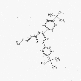 CC(C)(C)c1ccc(-c2cc(/C=C/CO)cc(-c3ccc(C(C)(C)C)cc3)c2)cc1